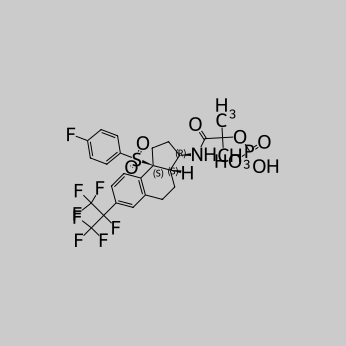 CC(C)(OP(=O)(O)O)C(=O)N[C@@H]1CC[C@@]2(S(=O)(=O)c3ccc(F)cc3)c3ccc(C(F)(C(F)(F)F)C(F)(F)F)cc3CC[C@@H]12